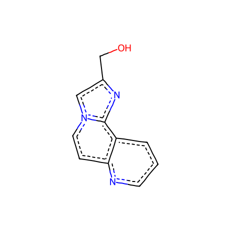 OCc1cn2ccc3ncccc3c2n1